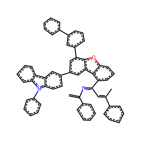 C=C(/N=C(\C=C(/C)c1ccccc1)c1cccc2oc3c(-c4cccc(-c5ccccc5)c4)cc(-c4ccc5c(c4)c4ccccc4n5-c4ccccc4)cc3c12)c1ccccc1